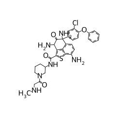 CNCC(=O)N1CCCC(NC(=O)c2sc3c(N)ccc4c3c2C(N)C(=O)C4(N)c2ccc(Oc3ccccc3)c(Cl)c2)C1